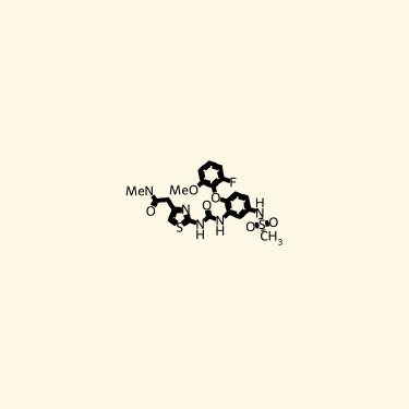 CNC(=O)Cc1csc(NC(=O)Nc2cc(NS(C)(=O)=O)ccc2Oc2c(F)cccc2OC)n1